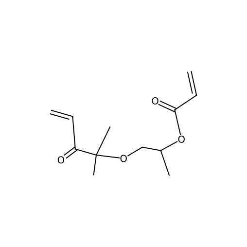 C=CC(=O)OC(C)COC(C)(C)C(=O)C=C